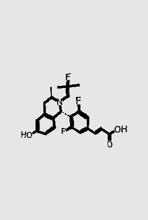 C[C@@H]1Cc2cc(O)ccc2[C@@H](c2c(F)cc(/C=C/C(=O)O)cc2F)N1CC(C)(C)F